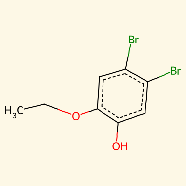 CCOc1cc(Br)c(Br)cc1O